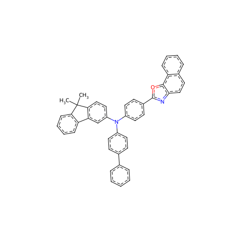 CC1(C)c2ccccc2-c2cc(N(c3ccc(-c4ccccc4)cc3)c3ccc(-c4nc5ccc6ccccc6c5o4)cc3)ccc21